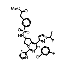 COC(=O)Cc1cccc(S(=O)(=O)N[C@H]2CC3=C(c4ccn(C(F)F)n4)[C@H](c4ccc(F)cc4Cl)N=C(c4nccs4)N3C2)c1